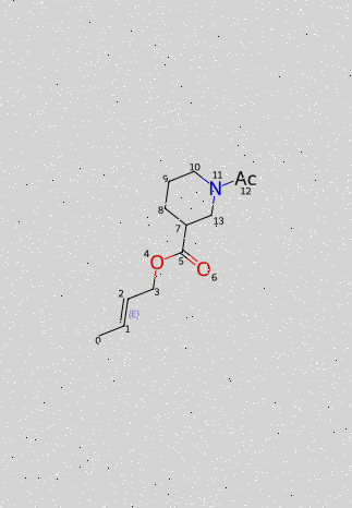 C/C=C/COC(=O)C1CCCN(C(C)=O)C1